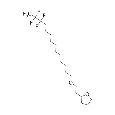 FC(F)(F)C(F)(F)C(F)(F)CCCCCCCCCCCOCCC1CCCO1